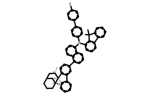 C[C@H]1CC2CCC[C@@H](C2)[C@@]12c1ccccc1-c1cc(-c3cccc4c(N(c5ccc(-c6ccc(F)cc6)cc5)c5cccc6c5C(C)(C)c5ccccc5-6)cccc34)ccc12